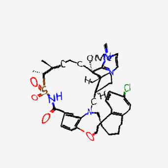 CO[C@@]1(c2nccn2C)CCC[C@H](C)[C@@H](C)S(=O)(=O)NC(=O)c2ccc3c(c2)N(C[C@@H]2CC[C@H]21)C[C@@]1(CCCc2cc(Cl)ccc21)CO3